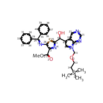 COC(=O)c1nc(C(O)c2cn(COCC[Si](C)(C)C)c3ncncc23)sc1N=C(c1ccccc1)c1ccccc1